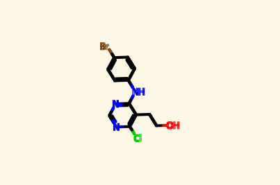 OCCc1c(Cl)ncnc1Nc1ccc(Br)cc1